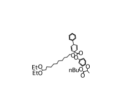 CCCCOC(=O)C(C)Oc1ccc(OC(=O)C2(OCCCCCCCCCCC(OCC)OCC)C=CC(c3ccccc3)C=C2)cc1